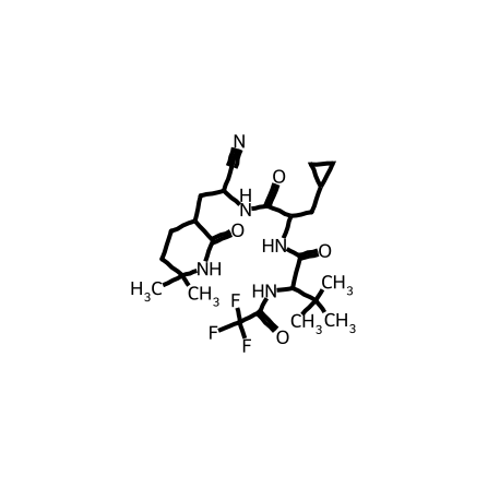 CC1(C)CCC(CC(C#N)NC(=O)C(CC2CC2)NC(=O)C(NC(=O)C(F)(F)F)C(C)(C)C)C(=O)N1